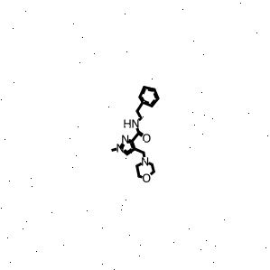 Cn1cc(CN2CCOCC2)c(C(=O)NCCc2ccccc2)n1